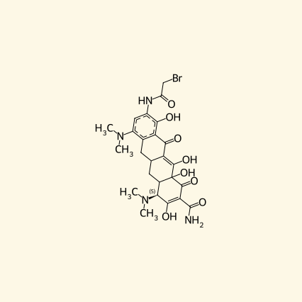 CN(C)c1cc(NC(=O)CBr)c(O)c2c1CC1CC3[C@H](N(C)C)C(O)=C(C(N)=O)C(=O)C3(O)C(O)=C1C2=O